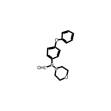 O=CN(c1ccc(Oc2ccccc2)cc1)N1CCOCC1